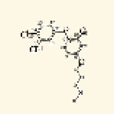 CCCCCOc1ccn(Cc2ccc(Cl)c(Cl)c2)c(=O)c1